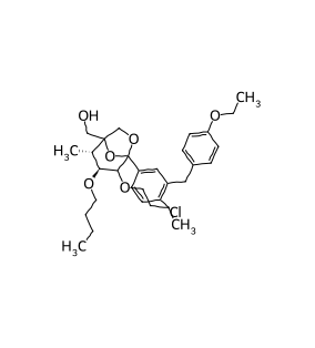 CCCCOC1[C@@H](OCCCC)[C@H](C)C2(CO)COC1(c1ccc(Cl)c(Cc3ccc(OCC)cc3)c1)O2